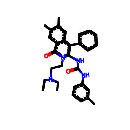 CCN(CC)CCn1c(NC(=O)Nc2cccc(C)c2)c(-c2ccccc2)c2cc(C)c(C)cc2c1=O